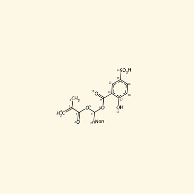 C=C(C)C(=O)OC(CCCCCCCCC)OC(=O)c1cc(S(=O)(=O)O)ccc1O